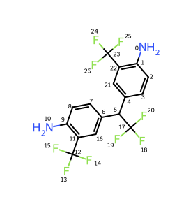 Nc1ccc(C(c2ccc(N)c(C(F)(F)F)c2)C(F)(F)F)cc1C(F)(F)F